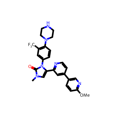 COc1ccc(-c2ccnc(-c3cn(C)c(=O)n3-c3ccc(N4CCNCC4)c(C(F)(F)F)c3)c2)cn1